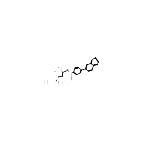 CN(C)C(=O)[C@H](O)C(N=O)C(=O)Nc1ccc(-c2ccc3ccccc3c2)cc1